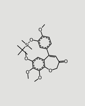 COc1ccc(C2=CC(=O)COc3c2cc(OC)c(OC)c3OC)cc1O[Si](C)(C)C(C)(C)C